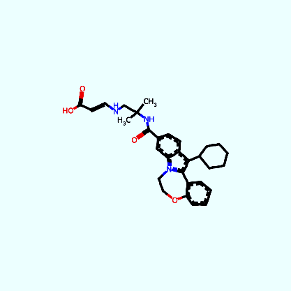 CC(C)(CNC=CC(=O)O)NC(=O)c1ccc2c(C3CCCCC3)c3n(c2c1)CCOc1ccccc1-3